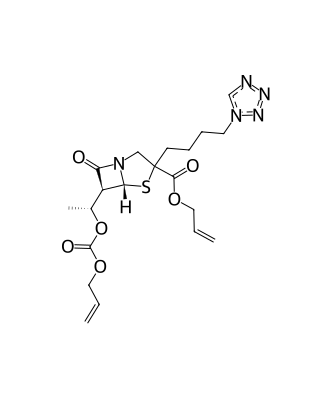 C=CCOC(=O)O[C@H](C)[C@H]1C(=O)N2CC(CCCCn3cnnn3)(C(=O)OCC=C)S[C@H]12